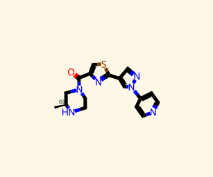 C[C@H]1CN(C(=O)c2csc(-c3cnn(-c4ccncc4)c3)n2)CCN1